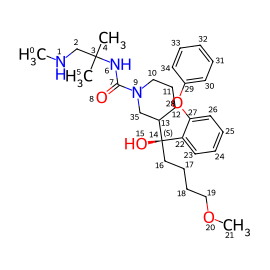 CNCC(C)(C)NC(=O)N1CCCC([C@@](O)(CCCCOC)c2ccccc2Oc2ccccc2)C1